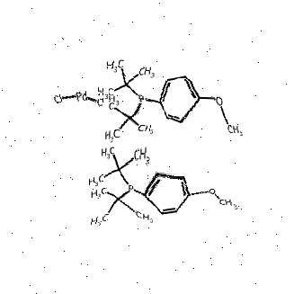 COc1ccc(P(C(C)(C)C)C(C)(C)C)cc1.COc1ccc(P(C(C)(C)C)C(C)(C)C)cc1.[Cl][Pd][Cl]